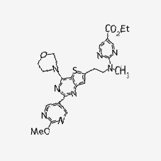 CCOC(=O)c1cnc(N(C)CCc2cc3nc(-c4cnc(OC)nc4)nc(N4CCOCC4)c3s2)nc1